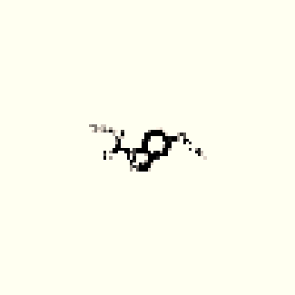 CC(C)(C)OC(=O)n1ncc2cc(N=C=S)ccc21